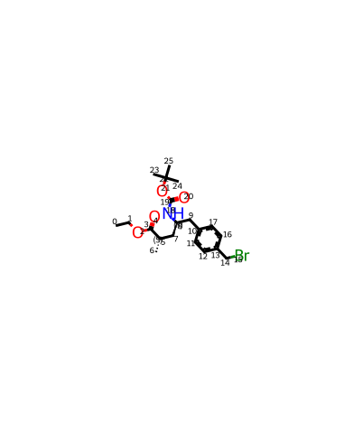 CCOC(=O)[C@@H](C)C[C@H](Cc1ccc(CBr)cc1)NC(=O)OC(C)(C)C